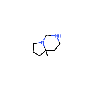 C1C[C@H]2CCNCN2C1